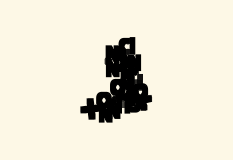 CC1(C)O[C@@H]2[C@H](O1)[C@@H](c1nnc(C(C)(C)C)o1)O[C@H]2n1cnc2c(Cl)ncnc21